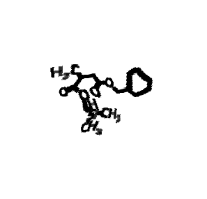 CC(CC(=O)OCc1ccccc1)C(=O)OC[SiH](C)C